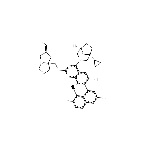 C#Cc1c(F)ccc2cc(O)cc(-c3c(Cl)cc4c(N5C[C@@H]6CC[C@](C7CC7)(C5)N6)nc(OC[C@@]56CCCN5C/C(=C\F)C6)nc4c3F)c12